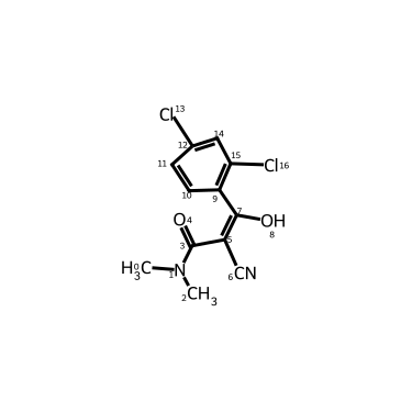 CN(C)C(=O)C(C#N)=C(O)c1ccc(Cl)cc1Cl